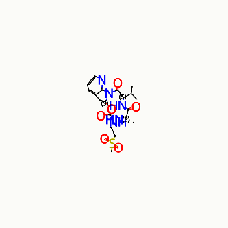 CN[C@@H](C)C(=O)N[C@H](C(=O)N1c2ncccc2C[C@@H]1OC(=O)NCCS(C)(=O)=O)C(C)C